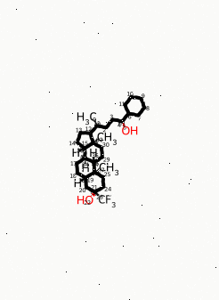 C[C@H](CC[C@H](O)C1CCCCC1)C1CC[C@H]2[C@@H]3CC[C@H]4C[C@](O)(C(F)(F)F)CC[C@]4(C)[C@H]3CC[C@]12C